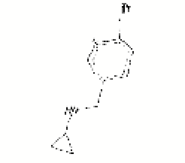 CC(C)c1ccc(CNC2CC2)cn1